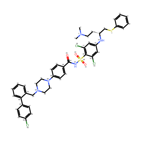 CN(C)CC[C@H](CSc1ccccc1)Nc1cc(Cl)c(S(=O)(=O)NC(=O)c2ccc(N3CCN(Cc4ccccc4-c4ccc(Cl)cc4)CC3)cc2)c(Cl)c1